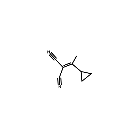 CC(=C(C#N)C#N)C1CC1